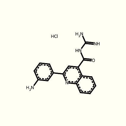 Cl.N=C(N)NC(=O)c1cc(-c2cccc(N)c2)nc2ccccc12